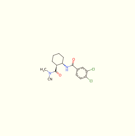 CN(C#N)C(=O)[C@H]1CCCC[C@H]1NC(=O)c1ccc(Cl)c(Cl)c1